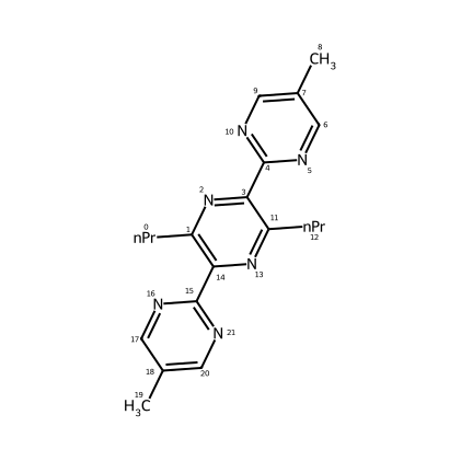 CCCc1nc(-c2ncc(C)cn2)c(CCC)nc1-c1ncc(C)cn1